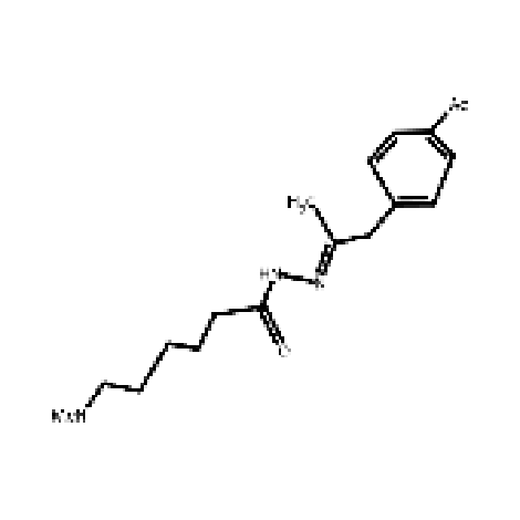 CNCCCCCC(=O)N/N=C(\C)Cc1ccc(C(C)=O)cc1